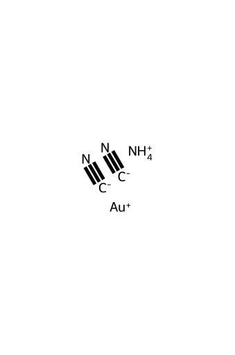 [Au+].[C-]#N.[C-]#N.[NH4+]